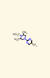 CC1CN(c2ncc(C(F)(F)F)cn2)CC(C)N1C(=O)O